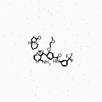 COCCOc1cc(C(=O)Nc2cccc(C(F)(F)F)c2)ccc1-c1nc([C@@H]2CC[C@H]3CCC(=O)N3C2)n2ccnc(N)c12